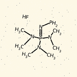 CN(C)P(=NP)(N(C)C)N(C)C.F